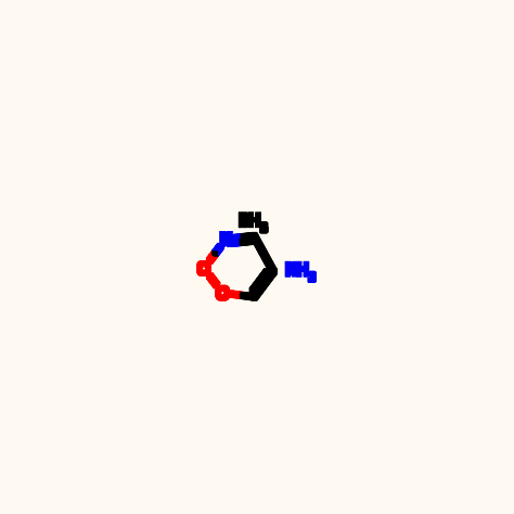 B.C1=COON=C1.N